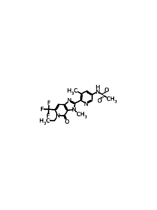 CCn1c(C(F)(F)F)cc2nc(-c3ncc(NS(C)(=O)=O)cc3C)n(C)c2c1=O